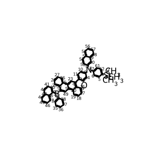 C[Si](C)(C)c1ccc(N(c2ccc3c(c2)Oc2cccc4c2c-3cc2c3ccccc3c(B(c3ccccc3)c3cccc5ccccc35)cc42)c2ccc3ccccc3c2)cc1